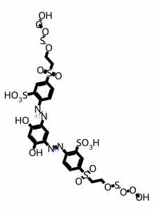 O=S(=O)(O)c1cc(S(=O)(=O)CCOSOOO)ccc1/N=N/c1cc(/N=N/c2ccc(S(=O)(=O)CCOSOOO)cc2S(=O)(=O)O)c(O)cc1O